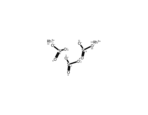 O=[Si]([O-])[O-].O=[Si]([O-])[O-].O=[Si]([O-])[O-].[Rh+3].[Rh+3]